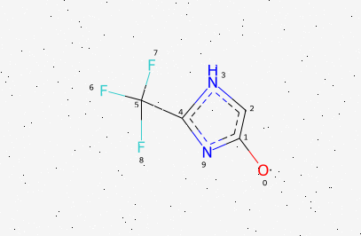 [O]c1c[nH]c(C(F)(F)F)n1